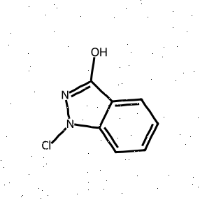 Oc1nn(Cl)c2ccccc12